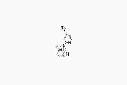 CC(C)c1ccnc(N2C[C@H]3CC[C@@H](C2)O3)c1